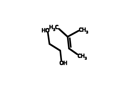 CC=C(C)C.OCCO